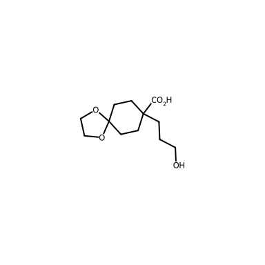 O=C(O)C1(CCCO)CCC2(CC1)OCCO2